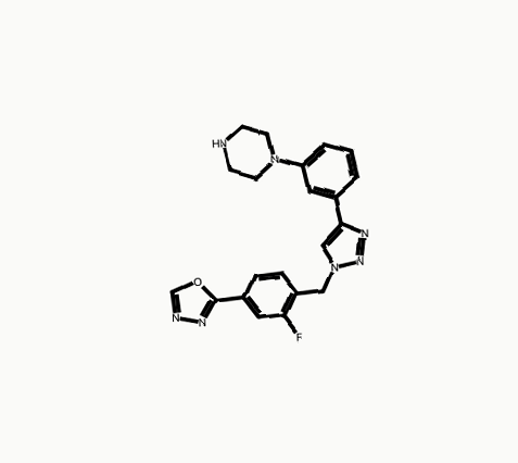 Fc1cc(-c2nnco2)ccc1Cn1cc(-c2cccc(N3CCNCC3)c2)nn1